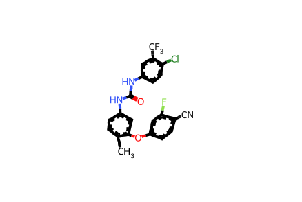 Cc1ccc(NC(=O)Nc2ccc(Cl)c(C(F)(F)F)c2)cc1Oc1ccc(C#N)c(F)c1